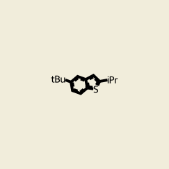 CC(C)c1cc2cc(C(C)(C)C)ccc2s1